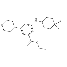 C=C(OCC)c1cc(N2CCOCC2)cc(NC2CCC(F)(F)CC2)n1